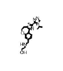 CC(C)n1cnnc1-c1nc2c(s1)CCOc1cc(CNCCO)ccc1-2